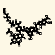 COc1ccc2c(OS(=O)(=O)Oc3cc(C(=O)N(C)CC(C)(C)COCC(C)(C)CN=[N+]=[N-])ccc3OC3O[C@H](COC(C)=O)[C@H](OC(C)=O)C(OC(C)=O)C3OC(C)=O)cc3c(c2c1)/C(=C/Cl)CN3C(=O)c1cc2cc(C(C)=O)c(O)cc2[nH]1